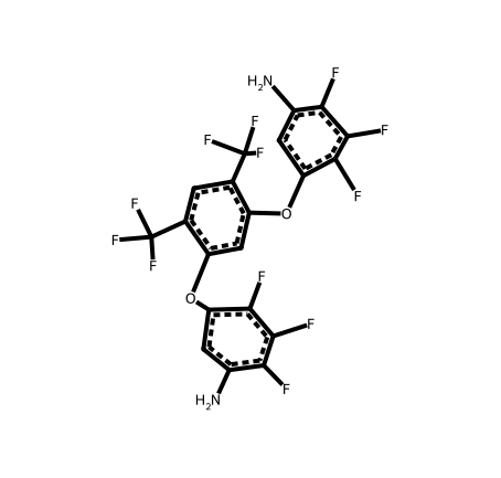 Nc1cc(Oc2cc(Oc3cc(N)c(F)c(F)c3F)c(C(F)(F)F)cc2C(F)(F)F)c(F)c(F)c1F